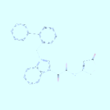 O=C1C=C(NC(=O)C(=O)c2cn(Cc3ccccc3-c3ccccc3)c3ccccc23)CO1